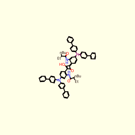 CCCCC(CC)C(=O)NC1=CC(=[PH](c2ccc(-c3ccccc3)cc2)c2ccc(-c3ccccc3)cc2)C=C/C1=C1\C(=O)C(c2ccc(N(c3ccc(-c4ccccc4)cc3)c3ccc(-c4ccccc4)cc3)cc2NC(=O)C(CC)CCCC)=C1O